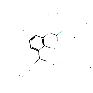 [CH2]C(C)c1cccc(OC(F)F)c1Br